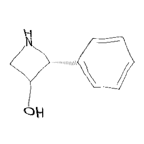 OC1CN[C@@H]1c1ccccc1